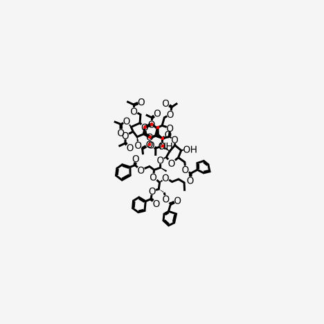 CCCCO[C@H](OC(COC(=O)c1ccccc1)[C@H](C)O[C@@H]1OC(COC(=O)c2ccccc2)[C@H](O)C(O[C@@H]2OC(COC(C)=O)[C@@H](OC(C)=O)C(O[C@@H]3OC(COC(C)=O)[C@H](OC(C)=O)C(OC(C)=O)[C@@H]3OC(C)=O)[C@@H]2NC(C)=O)[C@@H]1OC(=O)c1ccccc1)[C@H](COC(=O)c1ccccc1)OC(=O)c1ccccc1